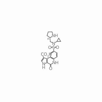 O=C(O)c1c[nH]c2c(=O)[nH]c3ccc(S(=O)(=O)N(C[C@H]4CCCN4)C4CC4)cc3c12